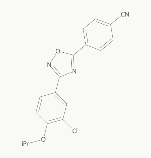 CC(C)Oc1ccc(-c2noc(-c3ccc(C#N)cc3)n2)cc1Cl